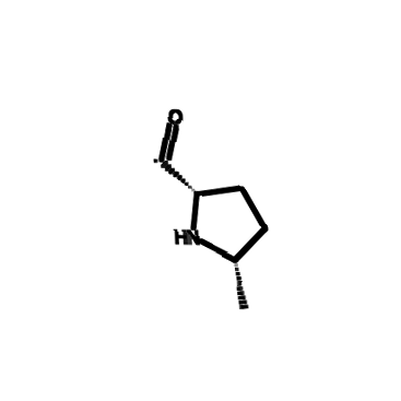 C[C@H]1CC[C@@H]([C]=O)N1